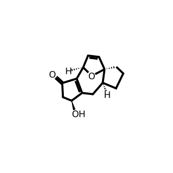 O=C1C[C@H](O)C2=C1[C@H]1C=C[C@]3(CCC[C@H]3C2)O1